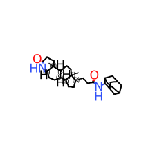 C[C@]12CCC(=O)N[C@@H]1CC[C@@H]1[C@@H]2CC[C@]2(C)[C@@H](CCC(=O)NC3C4CC5CC(C4)CC3C5)CC[C@@H]12